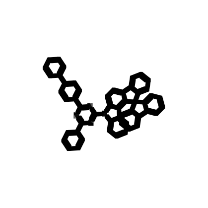 c1ccc(-c2ccc(-c3nc(-c4ccccc4)nc(-n4c5ccccc5c5c6c(ccc54)-c4ccccc4C64c5ccccc5-c5ccccc54)n3)cc2)cc1